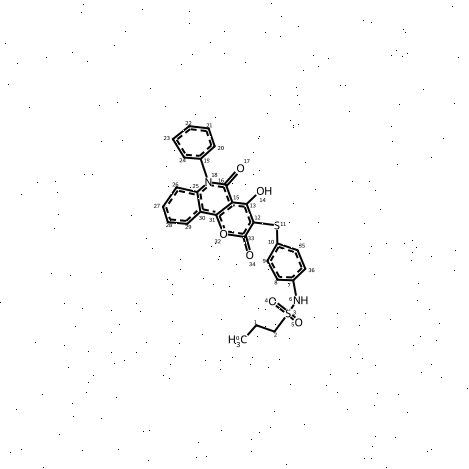 CCCS(=O)(=O)Nc1ccc(Sc2c(O)c3c(=O)n(-c4ccccc4)c4ccccc4c3oc2=O)cc1